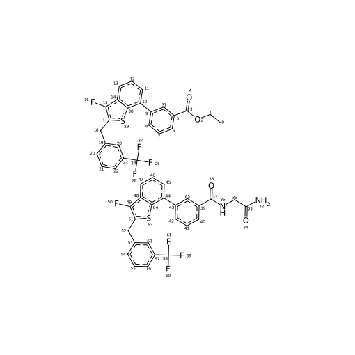 CCOC(=O)c1cccc(-c2cccc3c(F)c(Cc4cccc(C(F)(F)F)c4)sc23)c1.NC(=O)CNC(=O)c1cccc(-c2cccc3c(F)c(Cc4cccc(C(F)(F)F)c4)sc23)c1